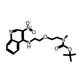 CN(CCOCCNc1c([N+](=O)[O-])cnc2ccccc12)C(=O)OC(C)(C)C